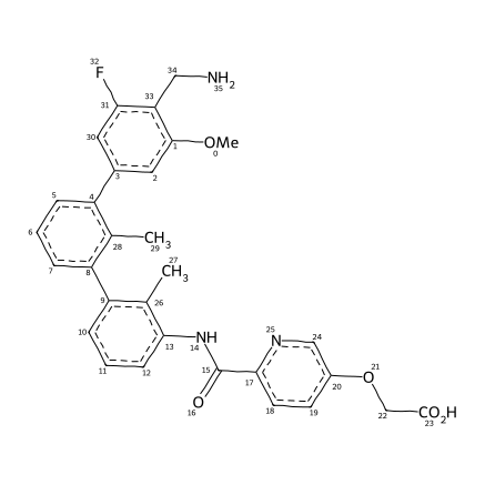 COc1cc(-c2cccc(-c3cccc(NC(=O)c4ccc(OCC(=O)O)cn4)c3C)c2C)cc(F)c1CN